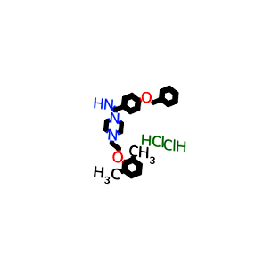 Cc1cccc(C)c1OCCN1CCN(C(=N)c2ccc(OCc3ccccc3)cc2)CC1.Cl.Cl